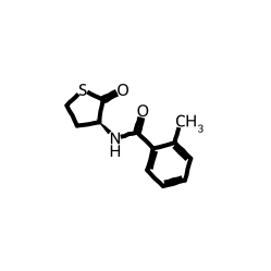 Cc1ccccc1C(=O)N[C@H]1CCSC1=O